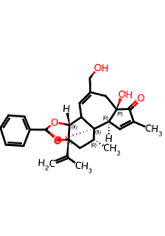 C=C(C)[C@]12C[C@@H](C)[C@@]34OC(c5ccccc5)(O[C@@H]1C3C=C(CO)C[C@]1(O)C(=O)C(C)=C[C@@H]41)O2